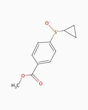 COC(=O)c1ccc([S+]([O-])C2CC2)cc1